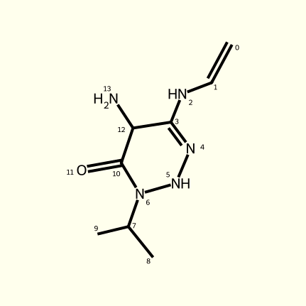 C=CNC1=NNN(C(C)C)C(=O)C1N